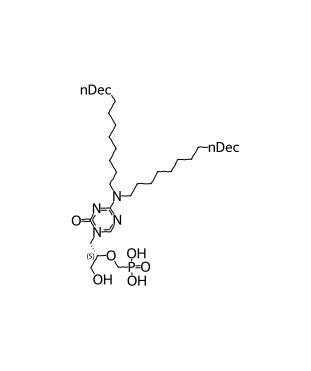 CCCCCCCCCCCCCCCCCCN(CCCCCCCCCCCCCCCCCC)c1ncn(C[C@@H](CO)OCP(=O)(O)O)c(=O)n1